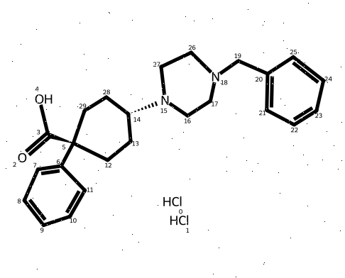 Cl.Cl.O=C(O)[C@]1(c2ccccc2)CC[C@@H](N2CCN(Cc3ccccc3)CC2)CC1